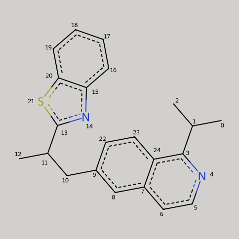 CC(C)c1nccc2cc(CC(C)c3nc4ccccc4s3)ccc12